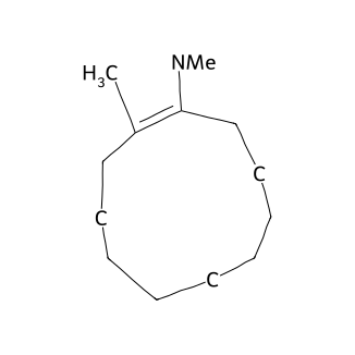 CN/C1=C(\C)CCCCCCCCC1